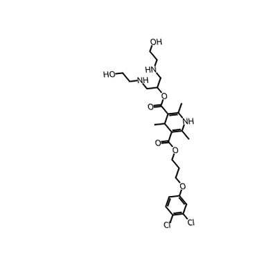 CC1=C(C(=O)OCCCOc2ccc(Cl)c(Cl)c2)C(C)C(C(=O)OC(CNCCO)CNCCO)=C(C)N1